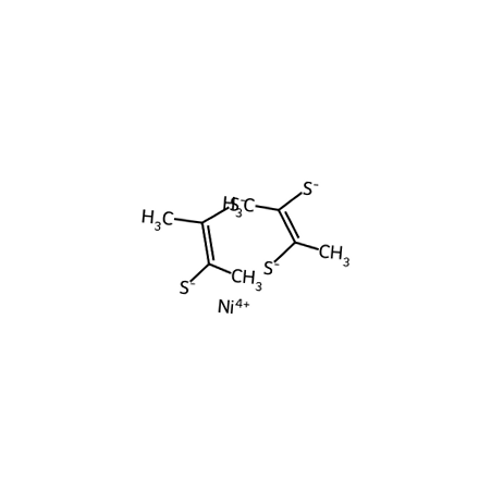 CC([S-])=C(C)[S-].CC([S-])=C(C)[S-].[Ni+4]